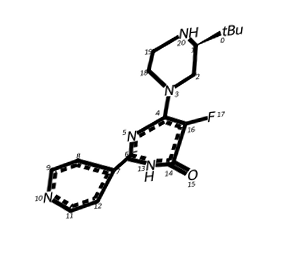 CC(C)(C)[C@H]1CN(c2nc(-c3ccncc3)[nH]c(=O)c2F)CCN1